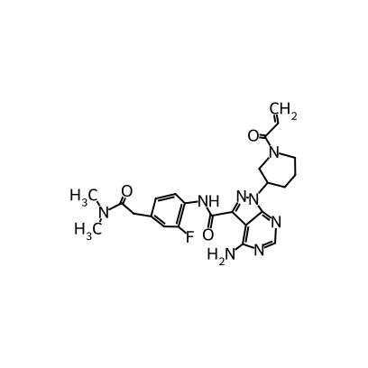 C=CC(=O)N1CCCC(n2nc(C(=O)Nc3ccc(CC(=O)N(C)C)cc3F)c3c(N)ncnc32)C1